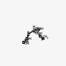 Cc1ncsc1-c1ccc(CNC(=O)[C@@H]2C[C@@H](O)CN2C(=O)[C@@H](NC(=O)CCCCC(=O)N2CC(c3cc4cc(-c5ccccc5O)nnc4[nH]3)C2)C(C)(C)C)cc1